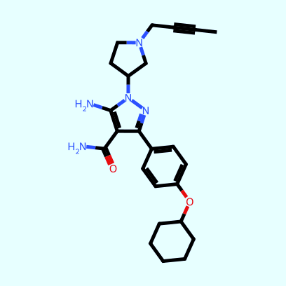 CC#CCN1CCC(n2nc(-c3ccc(OC4CCCCC4)cc3)c(C(N)=O)c2N)C1